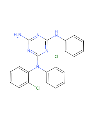 Nc1nc(Nc2ccccc2)nc(N(c2ccccc2Cl)c2ccccc2Cl)n1